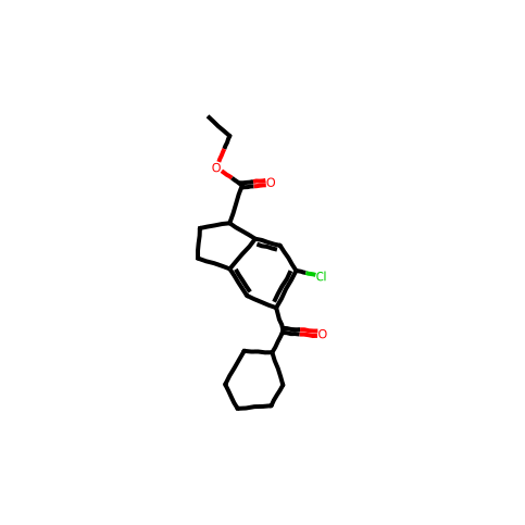 CCOC(=O)C1CCc2cc(C(=O)C3CCCCC3)c(Cl)cc21